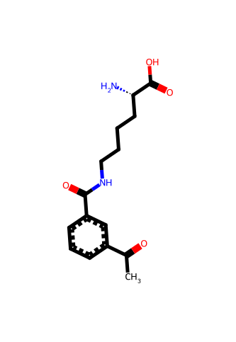 CC(=O)c1cccc(C(=O)NCCCC[C@H](N)C(=O)O)c1